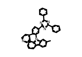 Cc1ccc2c3ccccc3n(-c3cc(-c4nc(-c5ccccc5)nc(-c5ccccc5)n4)ccc3-c3ccncc3)c2c1